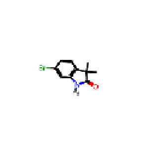 CCN1C(=O)C(C)(C)c2ccc(Br)cc21